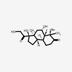 CCCC[C@@]1(C)C(=O)CC[C@H]2[C@@H]3CC[C@](O)(C(=O)CO)[C@@]3(C)C[C@H](O)[C@@]21F